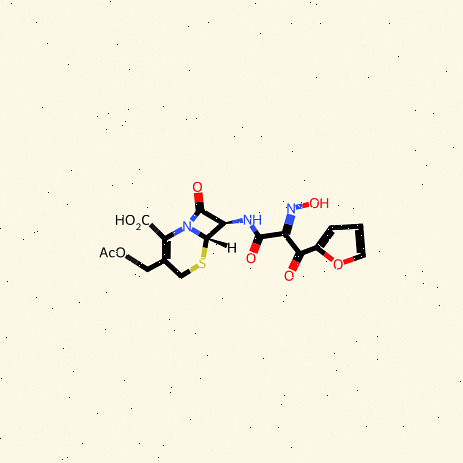 CC(=O)OCC1=C(C(=O)O)N2C(=O)[C@@H](NC(=O)C(=NO)C(=O)c3ccco3)[C@@H]2SC1